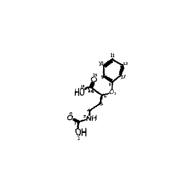 O=C(O)NCCC(Oc1ccccc1)C(=O)O